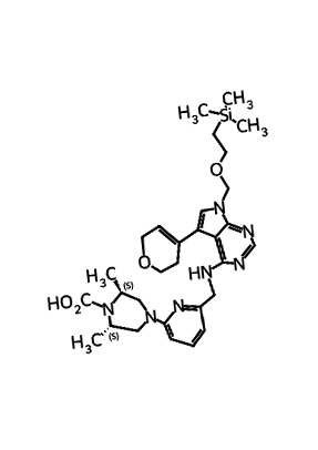 C[C@H]1CN(c2cccc(CNc3ncnc4c3c(C3=CCOCC3)cn4COCC[Si](C)(C)C)n2)C[C@H](C)N1C(=O)O